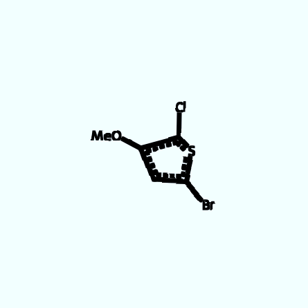 COc1cc(Br)sc1Cl